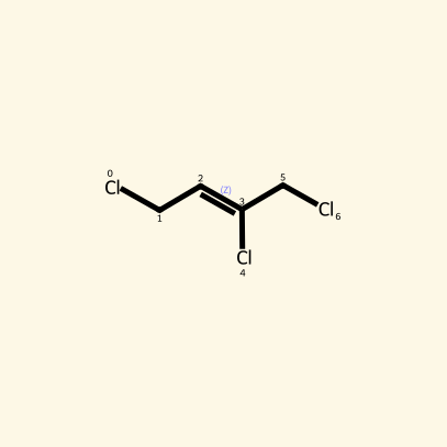 ClC/C=C(\Cl)CCl